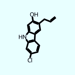 C=CCc1cc2c(cc1O)[nH]c1cc(Cl)ccc12